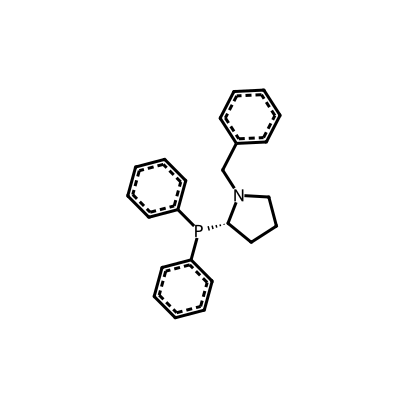 c1ccc(CN2CCC[C@@H]2P(c2ccccc2)c2ccccc2)cc1